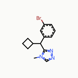 Cn1cnnc1C(c1cccc(Br)c1)C1CCC1